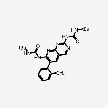 Cc1ccccc1-c1cc2cnc(NC(=O)NC(C)(C)C)nc2nc1NC(=O)NC(C)(C)C